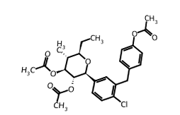 CC[C@H]1O[C@@H](c2ccc(Cl)c(Cc3ccc(OC(C)=O)cc3)c2)[C@H](OC(C)=O)[C@@H](OC(C)=O)[C@@H]1C